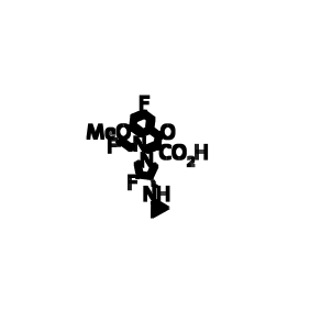 COc1cc(F)cc2c(=O)c(C(=O)O)c(N3C[C@H](CNC4CC4)[C@H](F)C3)n(CCF)c12